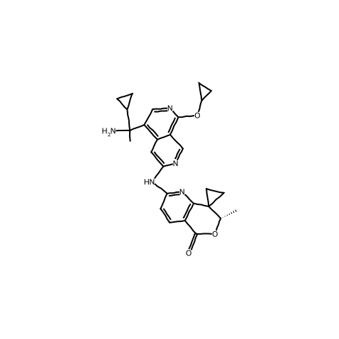 C[C@@H]1OC(=O)c2ccc(Nc3cc4c(C(C)(N)C5CC5)cnc(OC5CC5)c4cn3)nc2C12CC2